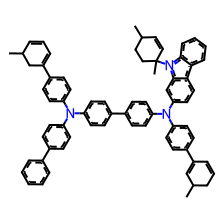 CC1C=C(c2ccc(N(c3ccc(-c4ccc(N(c5ccc(C6=CC=CC(C)C6)cc5)c5ccc(-c6ccccc6)cc5)cc4)cc3)c3ccc4c5ccccc5n(C5(C)C=CC(C)CC5)c4c3)cc2)C=CC1